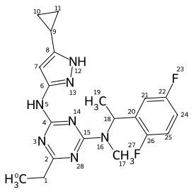 CCc1nc(Nc2cc(C3CC3)[nH]n2)nc(N(C)C(C)c2cc(F)ccc2F)n1